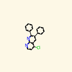 Clc1ccnc2nc(-c3ccccc3)c(-c3ccccc3)cc12